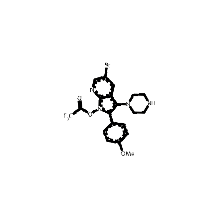 COc1ccc(-c2c(N3CCNCC3)c3cc(Br)cnc3n2OC(=O)C(F)(F)F)cc1